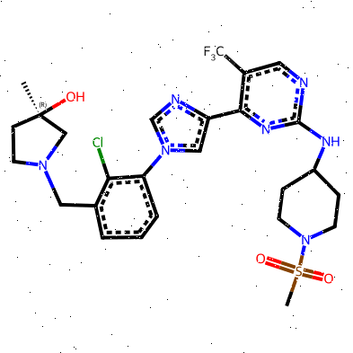 C[C@@]1(O)CCN(Cc2cccc(-n3cnc(-c4nc(NC5CCN(S(C)(=O)=O)CC5)ncc4C(F)(F)F)c3)c2Cl)C1